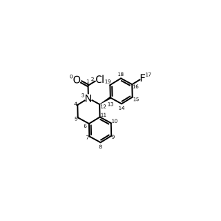 O=C(Cl)N1CCc2ccccc2[C@@H]1c1ccc(F)cc1